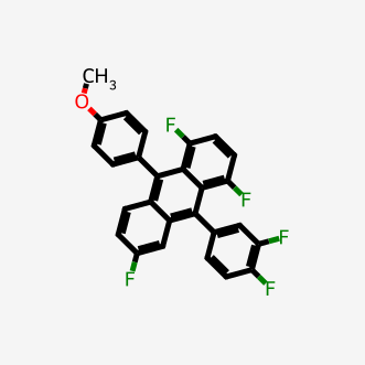 COc1ccc(-c2c3ccc(F)cc3c(-c3ccc(F)c(F)c3)c3c(F)ccc(F)c23)cc1